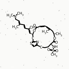 CC(/C=C/C(C)=C/[C@@H]1Cc2nc(cs2)CCC[C@H](NS(C)(=O)=O)C(=O)O[C@@H](C)C/C(C)=C/C=C\C(=O)O1)=C\CN(C)C